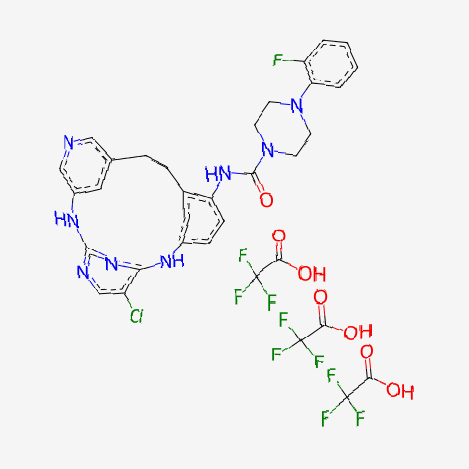 O=C(Nc1ccc2cc1CCc1cncc(c1)Nc1ncc(Cl)c(n1)N2)N1CCN(c2ccccc2F)CC1.O=C(O)C(F)(F)F.O=C(O)C(F)(F)F.O=C(O)C(F)(F)F